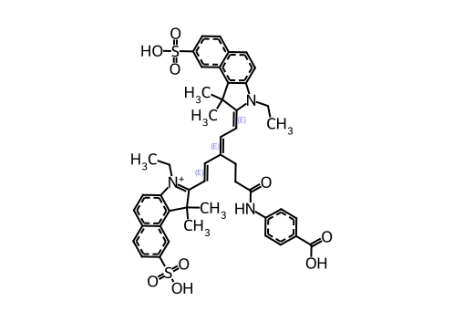 CCN1/C(=C/C=C(/C=C/C2=[N+](CC)c3ccc4ccc(S(=O)(=O)O)cc4c3C2(C)C)CCC(=O)Nc2ccc(C(=O)O)cc2)C(C)(C)c2c1ccc1ccc(S(=O)(=O)O)cc21